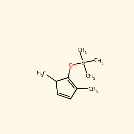 CC1=C(O[Si](C)(C)C)C(C)C=C1